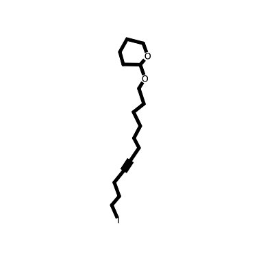 ICCCC#CCCCCCCOC1CCCCO1